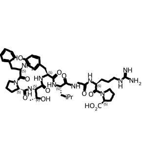 CC(C)C[C@H](NC(=O)[C@H](Cc1ccc(O)cc1)NC(=O)[C@@H](NC(=O)[C@@H]1CCCN1C(=O)[C@@H](N)Cc1ccccc1)[C@@H](C)O)C(=O)NCC(=O)N[C@@H](CCCNC(=N)N)C(=O)N1CCC[C@H]1C(=O)O